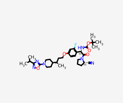 CC(C)c1noc(N2CCC([C@H](C)CCOc3ccc([C@H](NC(=O)OC(C)(C)C)C(=O)N4CCC[C@H]4C#N)c(F)c3)CC2)n1